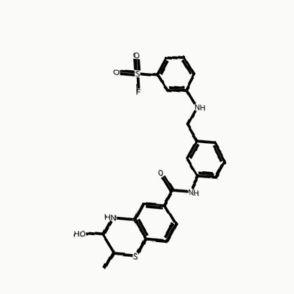 CC1Sc2ccc(C(=O)Nc3cccc(CNc4cccc(S(=O)(=O)F)c4)c3)cc2NC1O